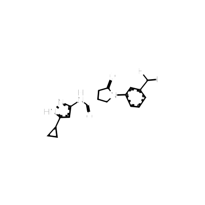 O=C(Nc1cc(C2CC2)[nH]n1)[C@@H]1CC(=O)N(c2cccc(C(F)F)c2)C1